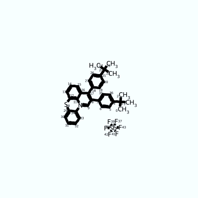 CC(C)(C)c1ccc(-c2c[n+]3c4c(cccc4c2-c2ccc(C(C)(C)C)cc2)Sc2ccccc2-3)cc1.[F][Sb-]([F])([F])([F])([F])[F]